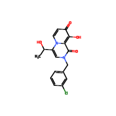 CC(O)c1cn(Cc2cccc(Cl)c2)c(=O)c2c(O)c(=O)ccn12